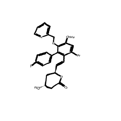 COc1cc(C(C)C)c(/C=C/[C@@H]2C[C@@H](O)CC(=O)O2)c(-c2ccc(F)cc2)c1OCc1ccccn1